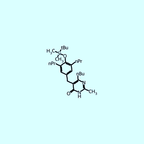 CCCCc1nc(C)[nH]c(=O)c1Cc1cc(CCC)c(O[Si](C)(C)C(C)(C)C)c(CCC)c1